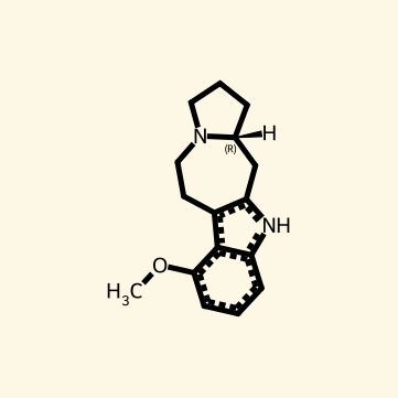 COc1cccc2[nH]c3c(c12)CCN1CCC[C@@H]1C3